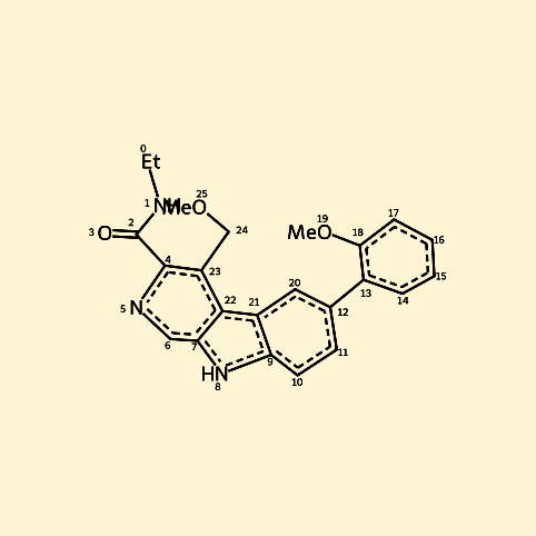 CCNC(=O)c1ncc2[nH]c3ccc(-c4ccccc4OC)cc3c2c1COC